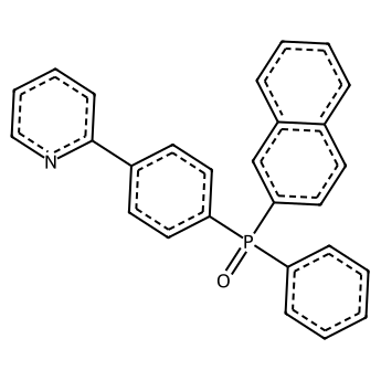 O=P(c1ccccc1)(c1ccc(-c2ccccn2)cc1)c1ccc2ccccc2c1